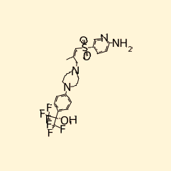 CC(=CS(=O)(=O)c1ccc(N)nc1)CN1CCN(c2ccc(C(O)(C(F)(F)F)C(F)(F)F)cc2)CC1